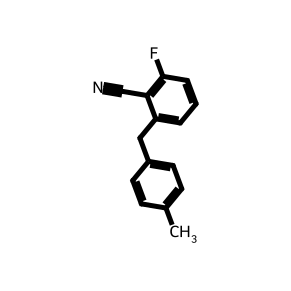 Cc1ccc(Cc2cccc(F)c2C#N)cc1